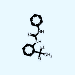 CCC(N)(CC)c1ccccc1NC(=O)Nc1ccccc1